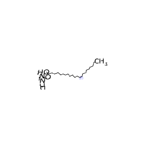 C1=NCCN1.CCCCCCCC/C=C\CCCCCCCCCCCC(=O)O